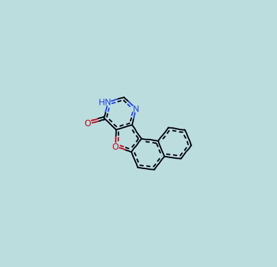 O=c1[nH]cnc2c1oc1ccc3ccccc3c12